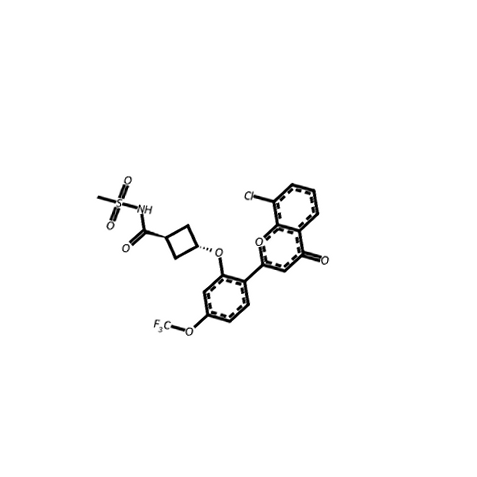 CS(=O)(=O)NC(=O)[C@H]1C[C@H](Oc2cc(OC(F)(F)F)ccc2-c2cc(=O)c3cccc(Cl)c3o2)C1